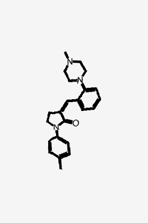 Cc1ccc(N2CCC(=Cc3ccccc3N3CCN(C)CC3)C2=O)cc1